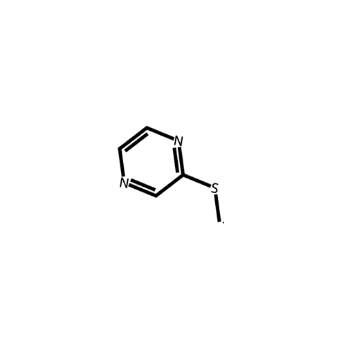 [CH2]Sc1cnccn1